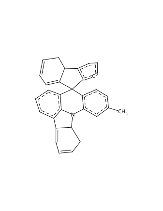 Cc1ccc2c(c1)N1c3c(cccc3C23C2=CC=CCC2c2ccccc23)C2=CC=CCC21